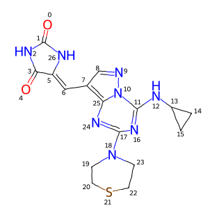 O=C1NC(=O)/C(=C/c2cnn3c(NC4CC4)nc(N4CCSCC4)nc23)N1